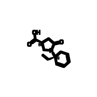 CC[C@@]1(N2C[C@@H](C(=O)O)CC2=O)C=CC=CC1